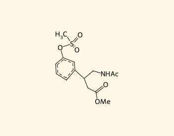 COC(=O)CC(CNC(C)=O)c1cccc(OS(C)(=O)=O)c1